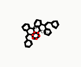 C=C(c1ccccc1C(=C)c1ccccc1C(=Cc1ccccc1)c1ccccc1)c1ccccc1C(=Cc1ccccc1)c1ccccc1